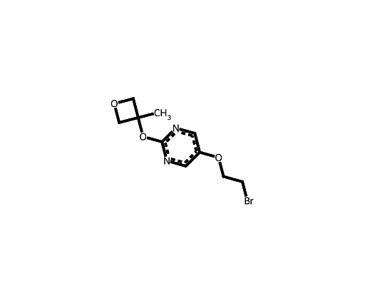 CC1(Oc2ncc(OCCBr)cn2)COC1